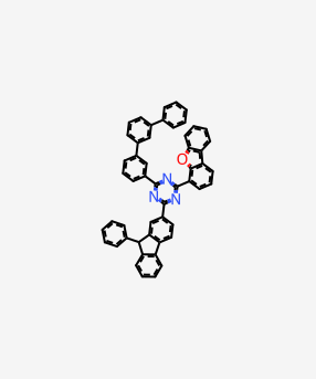 c1ccc(-c2cccc(-c3cccc(-c4nc(-c5ccc6c(c5)C(c5ccccc5)c5ccccc5-6)nc(-c5cccc6c5oc5ccccc56)n4)c3)c2)cc1